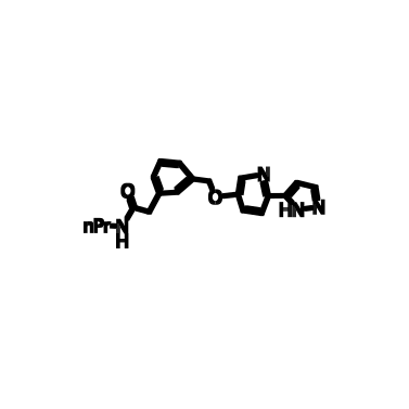 CCCNC(=O)Cc1cccc(COc2ccc(-c3ccn[nH]3)nc2)c1